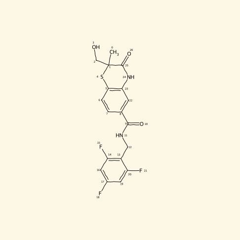 CC1(CO)Sc2ccc(C(=O)NCc3c(F)cc(F)cc3F)cc2NC1=O